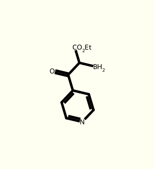 BC(C(=O)OCC)C(=O)c1ccncc1